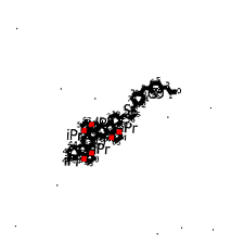 C=CCC(=O)/C=C\C(=O)Cc1ccc(-c2ccc(-c3ccc4c(c3)C3(c5cc6c(cc5-4)C4(c5cc7c(cc5-6)C5(c6cc(C)ccc6-7)C6(C(C)C)CCC5(C(C)C)CC6)C5(C(C)C)CCC4(C(C)C)CC5)C4(C(C)C)CCC3(C(C)C)CC4)s2)cc1